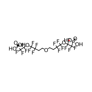 O=P(O)(O)C(F)(F)C(F)(F)OC(F)(F)C(F)(F)CCOCCC(F)(F)C(F)(F)OC(F)(F)C(F)(F)P(=O)(O)O